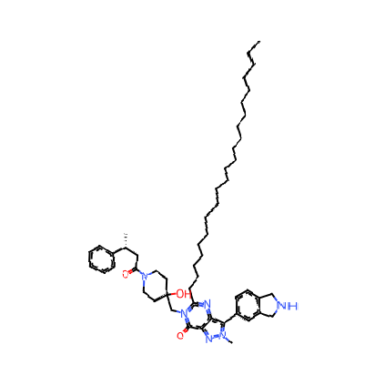 CCCCCCCCCCCCCCCCCCCCCCc1nc2c(-c3ccc4c(c3)CNC4)n(C)nc2c(=O)n1CC1(O)CCN(C(=O)C[C@@H](C)c2ccccc2)CC1